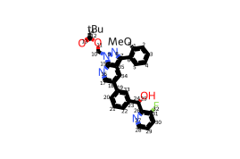 COc1ccccc1-c1nn(COC(=O)C(C)(C)C)c2ncc(-c3cccc(C(O)c4ncccc4F)c3)cc12